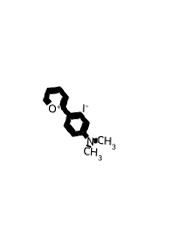 CN(C)c1ccc(-c2cccc[o+]2)cc1.[I-]